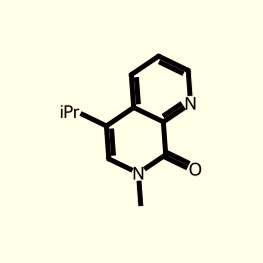 CC(C)c1cn(C)c(=O)c2ncccc12